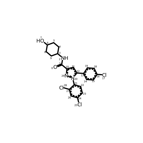 O=C(NC1CCC(O)CC1)c1cc(-c2ccc(Cl)cc2)n(-c2ccc(Cl)cc2Cl)n1